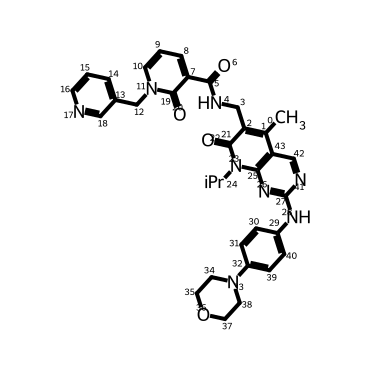 Cc1c(CNC(=O)c2cccn(Cc3cccnc3)c2=O)c(=O)n(C(C)C)c2nc(Nc3ccc(N4CCOCC4)cc3)ncc12